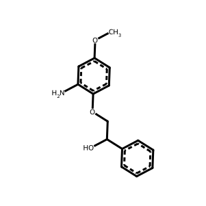 COc1ccc(OCC(O)c2ccccc2)c(N)c1